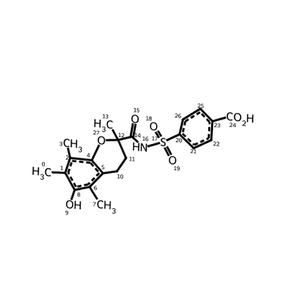 Cc1c(C)c2c(c(C)c1O)CCC(C)(C(=O)NS(=O)(=O)c1ccc(C(=O)O)cc1)O2